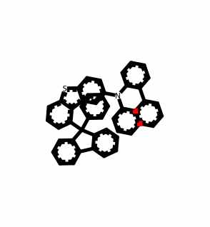 c1ccc(-c2ccccc2N(c2ccccc2)c2ccc3sc4cccc(C5(c6ccccc6)c6ccccc6-c6ccccc65)c4c3c2)cc1